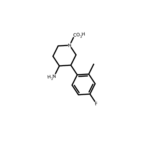 Cc1cc(F)ccc1C1CN(C(=O)O)CCC1N